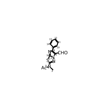 CC(=O)N(C)c1nn2c(C=O)c(-c3ccccc3)nc2s1